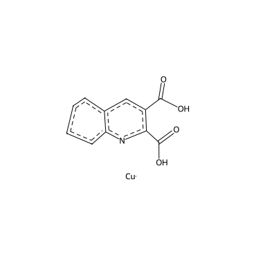 O=C(O)c1cc2ccccc2nc1C(=O)O.[Cu]